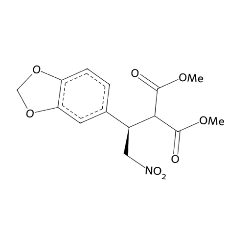 COC(=O)C(C(=O)OC)[C@@H](C[N+](=O)[O-])c1ccc2c(c1)OCO2